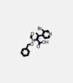 C/C(=C(/C(=O)O)N(C=O)OCc1ccccc1)c1ccncc1Br